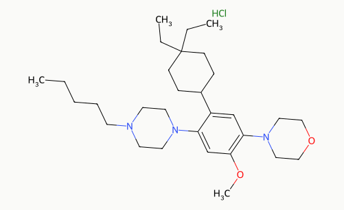 CCCCCN1CCN(c2cc(OC)c(N3CCOCC3)cc2C2CCC(CC)(CC)CC2)CC1.Cl